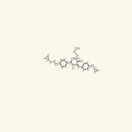 O=C(NCCO)/C(=C\c1ccc(OC2CC2)cc1)NC(=O)c1ccc(OCCC2CC2)cc1